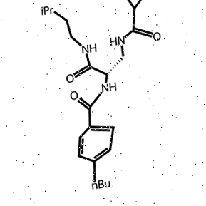 CCCCc1ccc(C(=O)N[C@@H](CNC(=O)C2CC2)C(=O)NCCC(C)C)cc1